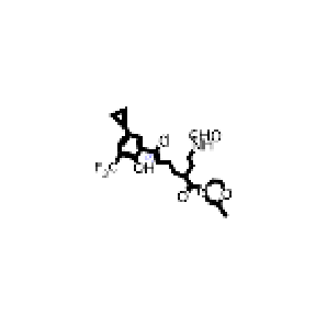 CC1CN(C(=O)C(CC/C=C(\Cl)c2cc(C3CC3)cc(C(F)(F)F)c2O)CCNC=O)CCO1